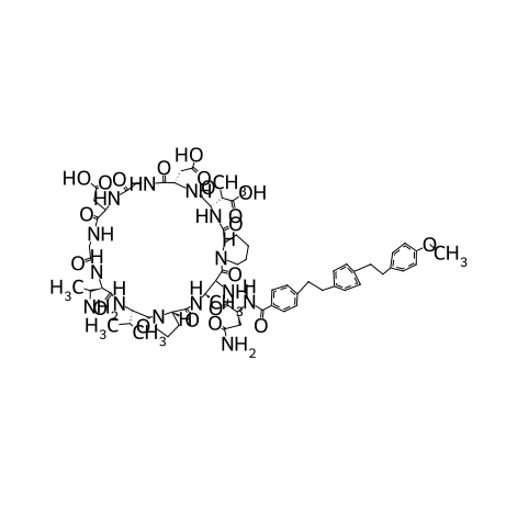 COc1ccc(CCc2ccc(CCc3ccc(C(=O)N[C@@H](CC(N)=O)C(=O)NC4C(=O)N5CCCC[C@@H]5C(=O)N[C@@H](C(C)C(=O)O)C(=O)N[C@@H](CC(=O)O)C(=O)NCC(=O)NC(CC(=O)O)C(=O)NCC(=O)N[C@H](C(C)N)C(=O)N[C@@H](C(C)C)C(=O)N5CCC[C@H]5C(=O)N[C@@H]4C)cc3)cc2)cc1